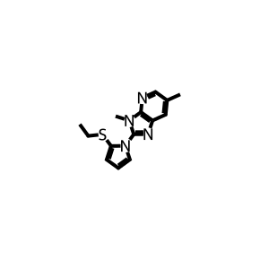 CCSc1cccn1-c1nc2cc(C)cnc2n1C